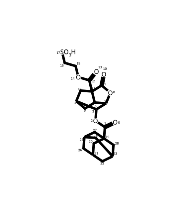 O=C(OC1C2CC3C1OC(=O)C3(C(=O)OCCS(=O)(=O)O)C2)C12CC3CC(CC(C3)C1)C2